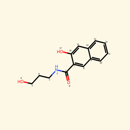 O=C(NCCCO)c1cc2ccccc2cc1O